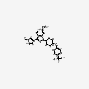 CNc1cc2c(cn1)c(-c1cnn(C)c1)nn2C1CCC(Oc2ccc(C(F)(F)F)nc2)CC1